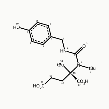 CC(C)(C)N(C(=O)NCc1ccc(O)cc1)[C@@](CCC(=O)O)(C(=O)O)C(C)(C)C